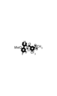 COc1cc(F)c(F)cc1-c1ccncc1N(CC(F)(F)F)C(=O)c1cc(C(F)(F)F)cc(S(C)(=O)=O)c1